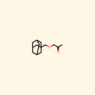 CC(=O)COCC12CC3CC(CC(C3)C1)C2